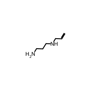 C=CCNCCCN